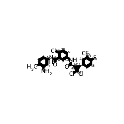 Cc1ccc(NC(=O)c2cc(NC(=O)[C@H]3[C@H](c4ccc(F)c(C(F)(F)F)c4)C3(Cl)Cl)ccc2Cl)cc1N